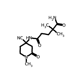 CN1CCC(C#N)(NC(=O)[CH]CC(C)(C)C(N)=O)CC1=O